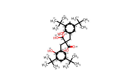 CC(C)(C)c1cc(CC(Cc2cc(C(C)(C)C)cc(C(C)(C)C)c2O)(C(=O)O)C(=O)O)c(O)c(C(C)(C)C)c1